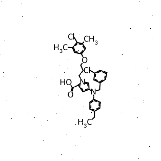 CCc1ccc(N(Cc2cccc(Cl)c2)c2cc(C(=O)O)n(CCCOc3cc(C)c(Cl)c(C)c3)c2)cc1